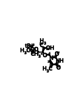 Cc1cn(CO[C@H](CO[Si](C)(C)C(C)(C)C)C(C)O)c(=O)[nH]c1=O